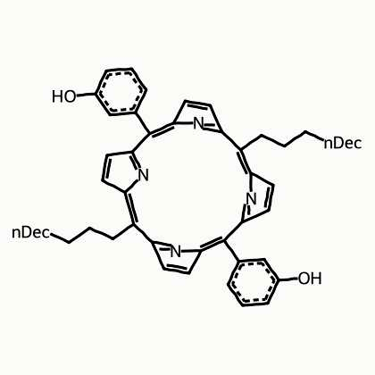 CCCCCCCCCCCCCC1=C2C=CC(=N2)C(c2cccc(O)c2)=C2C=CC(=N2)C(CCCCCCCCCCCCC)=C2C=CC(=N2)C(c2cccc(O)c2)=C2C=CC1=N2